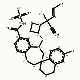 C#C[C@@](O)(/C=C/CC)[C@@H]1CC[C@H]1CN1C[C@@]2(CCCc3cc(Cl)ccc32)COc2ccc(C(=O)NS(=O)(=O)C(C)C)cc21